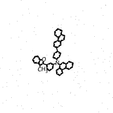 Cc1c(-c2cccc(N(c3ccc(-c4ccc5c(ccc6ccccc65)c4)cc3)c3cc4ccccc4c4ccccc34)c2)oc2ccccc12